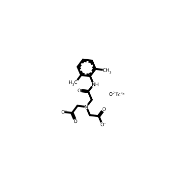 Cc1cccc(C)c1NC(=O)CN(CC(=O)[O-])CC(=O)[O-].[O-2].[Tc+4]